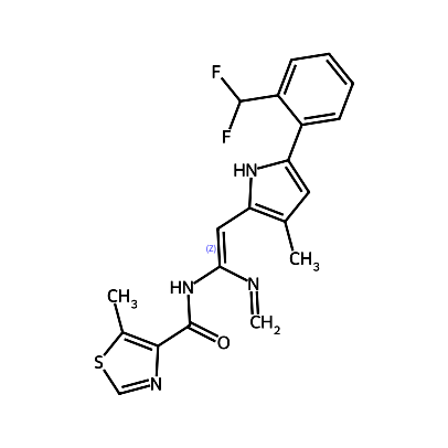 C=N/C(=C\c1[nH]c(-c2ccccc2C(F)F)cc1C)NC(=O)c1ncsc1C